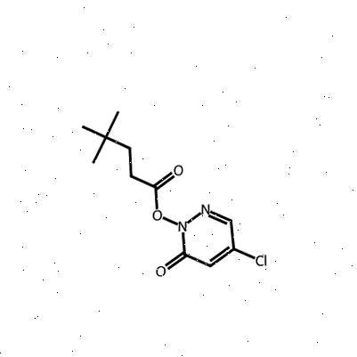 CC(C)(C)CCC(=O)On1ncc(Cl)cc1=O